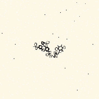 CC(=O)Oc1ccc2c(c1)Oc1cc(OC(=O)N(C)CCN(C)C(=O)CC(C)(C)C3=C(C)C(=O)C(C)=C(C)C3=O)ccc1C21OC(=O)c2ccccc21